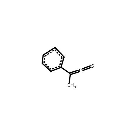 CC(=C=S)c1ccccc1